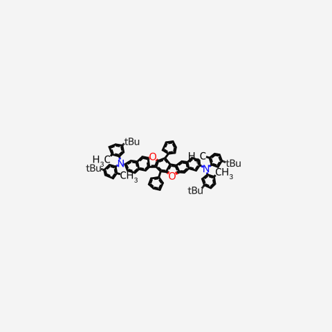 Cc1ccc(C(C)(C)C)cc1N(c1ccc2cc3c(cc2c1)oc1c(-c2ccccc2)c2c(oc4cc5cc(N(c6cc(C(C)(C)C)ccc6C)c6cc(C(C)(C)C)ccc6C)ccc5cc42)c(-c2ccccc2)c13)c1cc(C(C)(C)C)ccc1C